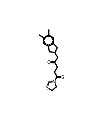 Cc1cc2c(cc1C)CC(CC(=O)CCC(=S)N1CCSC1)C2